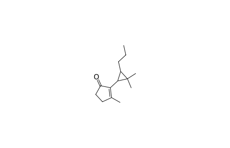 CCCC1C(C2=C(C)CCC2=O)C1(C)C